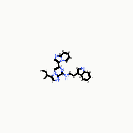 CCC(C)c1cnc2c(NCCC3=CNC4C=CC=CC34)nc(-c3cnc4ccccn34)cn12